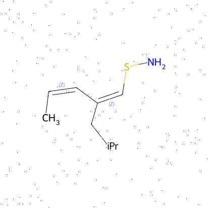 C/C=C\C(=C/SN)CC(C)C